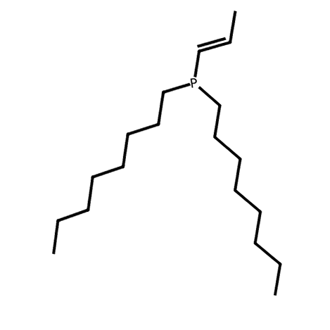 CC=CP(CCCCCCCC)CCCCCCCC